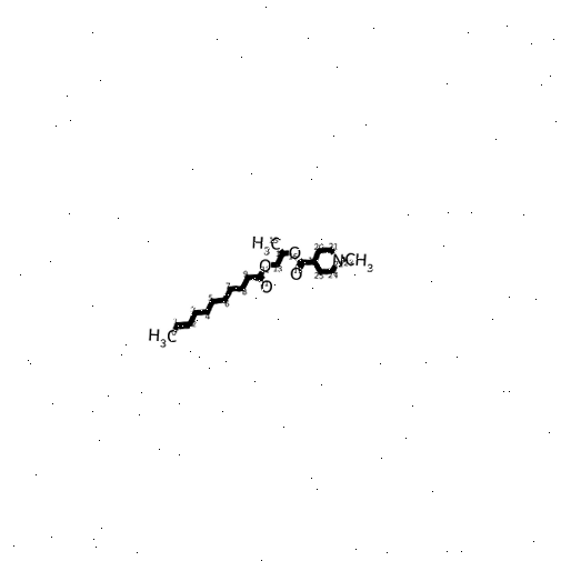 C/C=C/CCCCCCCC(=O)OCC(C)OC(=O)C1CCN(C)CC1